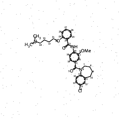 COc1cc(C(=O)N2CCCCc3cc(Cl)ccc32)ccc1NC(=O)c1ccccc1OCCCCN(C)C